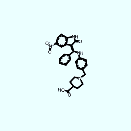 O=C1Nc2ccc([N+](=O)[O-])cc2/C1=C(/Nc1ccc(CN2CCC(C(=O)O)CC2)cc1)c1ccccc1